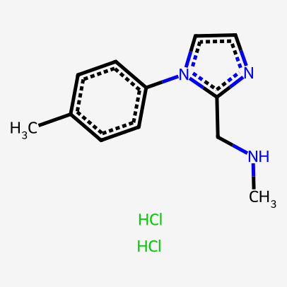 CNCc1nccn1-c1ccc(C)cc1.Cl.Cl